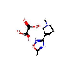 Cc1nc(C2=CCCN(C)C2)no1.O=C(O)C(=O)O